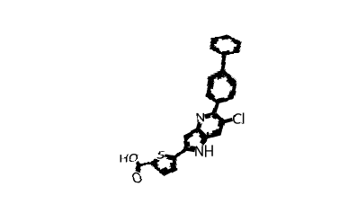 O=C(O)c1ccc(-c2cc3nc(-c4ccc(-c5ccccc5)cc4)c(Cl)cc3[nH]2)s1